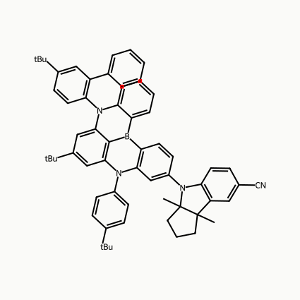 CC(C)(C)c1ccc(N2c3cc(N4c5ccc(C#N)cc5C5(C)CCCC45C)ccc3B3c4ccccc4N(c4ccc(C(C)(C)C)cc4-c4ccccc4)c4cc(C(C)(C)C)cc2c43)cc1